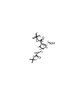 CC(C)(C)OC(=O)NC[C@H]1C[C@@H](CO)N(C(=O)OC(C)(C)C)C1